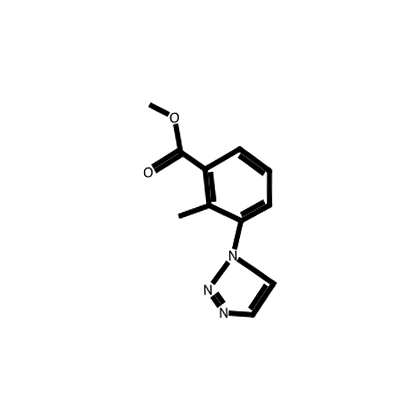 COC(=O)c1cccc(-n2ccnn2)c1C